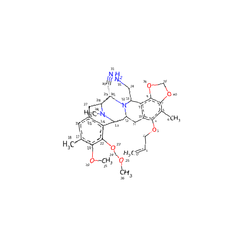 C=CCOc1c(C)c2c(c3c1CC1C4c5c(cc(C)c(OC)c5OCOC)CC([C@H](C#N)N1C3CN)N4C)OCO2